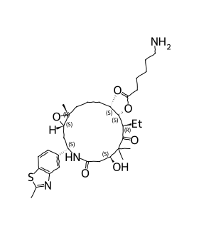 CC[C@H]1C(=O)C(C)(C)[C@@H](O)CC(=O)N[C@H](c2ccc3sc(C)nc3c2)C[C@@H]2O[C@]2(C)CCC[C@H](C)[C@@H]1OC(=O)CCCCCN